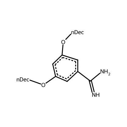 CCCCCCCCCCOc1cc(OCCCCCCCCCC)cc(C(=N)N)c1